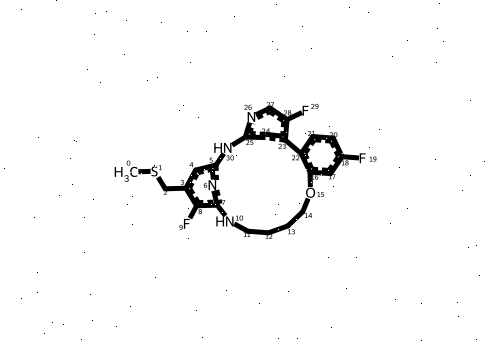 CSCc1cc2nc(c1F)NCCCCOc1cc(F)ccc1-c1cc(ncc1F)N2